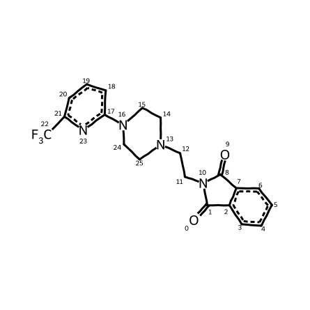 O=C1c2ccccc2C(=O)N1CCN1CCN(c2cccc(C(F)(F)F)n2)CC1